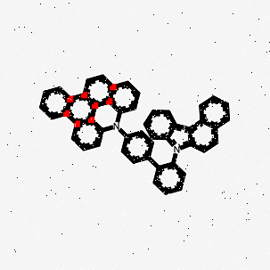 c1ccc(-c2ccccc2-c2ccccc2N(c2ccc(-c3ccccc3-n3c4ccccc4c4c5ccccc5ccc43)cc2)c2ccccc2-c2ccccc2)cc1